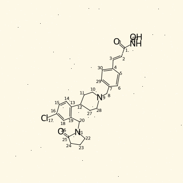 O=C(/C=C/c1ccc(CN2CCC(c3ccc(Cl)cc3CN3CCCC3=O)CC2)cc1)NO